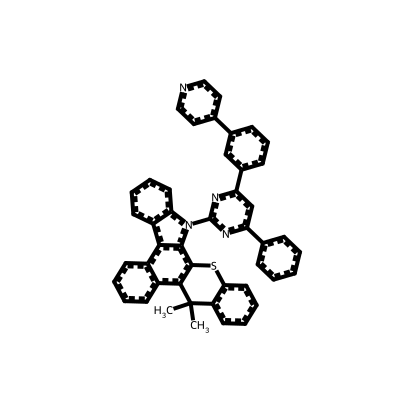 CC1(C)c2ccccc2Sc2c1c1ccccc1c1c3ccccc3n(-c3nc(-c4ccccc4)cc(-c4cccc(-c5ccncc5)c4)n3)c21